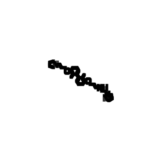 Cc1c(OCCCNCCn2cccn2)cccc1-c1cccc(OCCCN2CCCC2)c1C